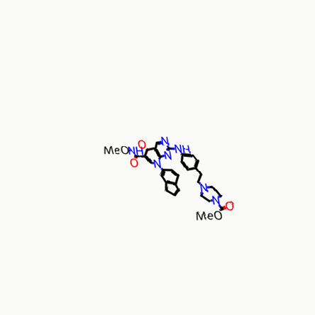 CONC(=O)c1cn(-c2ccc3c(c2)CCC3)c2nc(Nc3ccc(CCN4CCN(C(=O)OC)CC4)cc3)ncc2c1=O